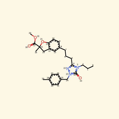 CCCn1c(CCCc2ccc3c(c2)CC(C)(C(=O)OC)O3)nn(Cc2ccc(C)cc2)c1=O